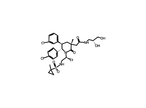 CC[C@@H](CNS(=O)(=O)C1(C)CC1)N1C(=O)[C@@](C)(CC(=O)NC[C@@H](O)CO)C[C@H](c2cccc(Cl)c2)[C@H]1c1ccc(Cl)cc1